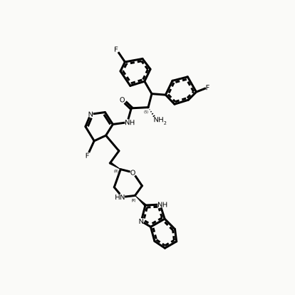 N[C@H](C(=O)NC1=CN=CC(F)C1CC[C@@H]1CN[C@H](c2nc3ccccc3[nH]2)CO1)C(c1ccc(F)cc1)c1ccc(F)cc1